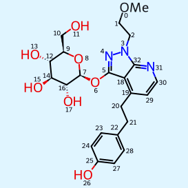 COCCn1nc(O[C@@H]2O[C@H](CO)[C@@H](O)[C@H](O)[C@H]2O)c2c(CCc3ccc(O)cc3)ccnc21